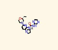 CC[C@@H]1CN(c2ccc3c(n2)N(C(=O)Nc2cnccn2)[C@H]2CCN3C2)CCO1